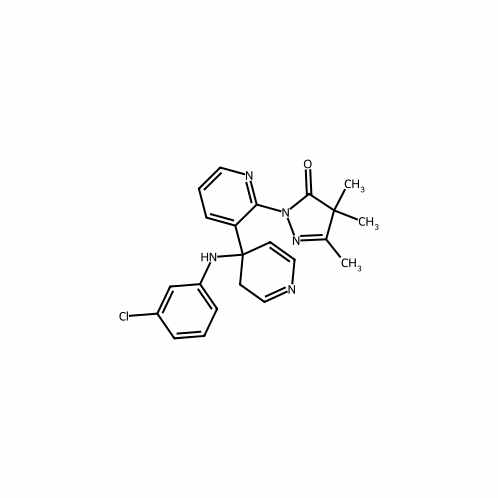 CC1=NN(c2ncccc2C2(Nc3cccc(Cl)c3)C=CN=CC2)C(=O)C1(C)C